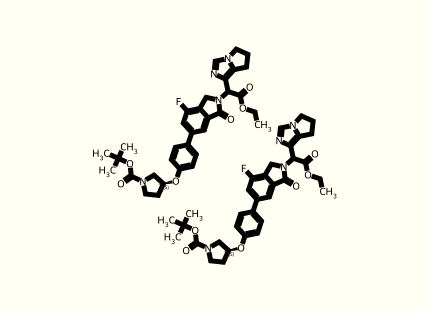 CCOC(=O)C(c1ncn2c1CCC2)N1Cc2c(F)cc(-c3ccc(O[C@H]4CCN(C(=O)OC(C)(C)C)C4)cc3)cc2C1=O.CCOC(=O)C(c1ncn2c1CCC2)N1Cc2c(F)cc(-c3ccc(O[C@H]4CCN(C(=O)OC(C)(C)C)C4)cc3)cc2C1=O